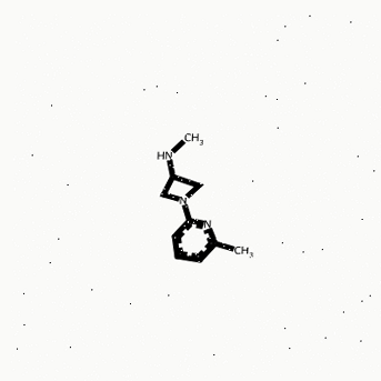 CNC1CN(c2cccc(C)n2)C1